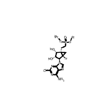 CC(C)OP(=O)(CC[C@]12C[C@@H]1[C@@H](n1cnc3c(N)nc(Cl)nc31)[C@H](O)[C@@H]2O)OC(C)C